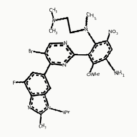 COc1c(N)cc([N+](=O)[O-])c(N(C)CCN(C)C)c1-c1ncc(Br)c(-c2cc(F)c3nc(C)n(C(C)C)c3c2)n1